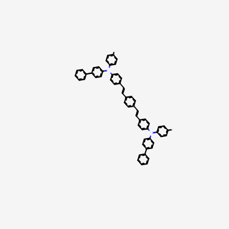 Cc1ccc(N(c2ccc(C=Cc3ccc(C=Cc4ccc(N(c5ccc(C)cc5)c5ccc(-c6ccccc6)cc5)cc4)cc3)cc2)c2ccc(-c3ccccc3)cc2)cc1